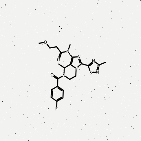 COCCC(=O)N(C)c1nc(-c2nc(C)ns2)n2c1C(C)N(C(=O)c1ccc(F)cc1)CC2